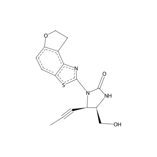 CC#C[C@@H]1[C@H](CO)NC(=O)N1c1nc2c3c(ccc2s1)OCC3